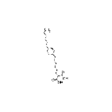 CCCCCCC1C=CC(CCCCCCC(C(=O)O)C(=O)O)CC1